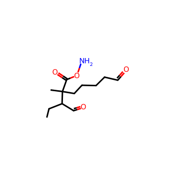 CCC(C=O)C(C)(CCCCC=O)C(=O)ON